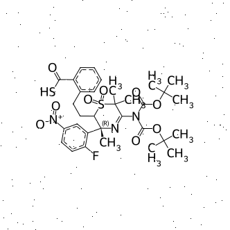 CC(C)(C)OC(=O)N(C(=O)OC(C)(C)C)C1=N[C@](C)(c2cc([N+](=O)[O-])ccc2F)C(CCc2ccccc2C(=O)S)S(=O)(=O)C1(C)C